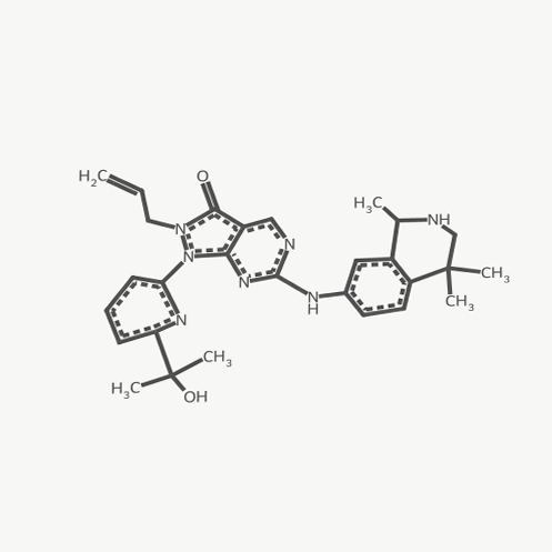 C=CCn1c(=O)c2cnc(Nc3ccc4c(c3)C(C)NCC4(C)C)nc2n1-c1cccc(C(C)(C)O)n1